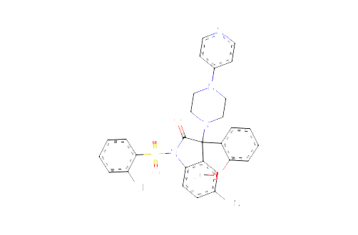 CCOc1ccccc1C1(N2CCN(c3ccncc3)CC2)C(=O)N(S(=O)(=O)c2ccccc2C(F)(F)F)c2ccc(C#N)cc21